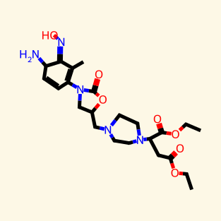 CCOC(=O)CC(C(=O)OCC)N1CCN(CC2CN(C3=C(C)C(=NO)C(N)C=C3)C(=O)O2)CC1